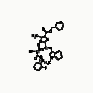 Cc1oc([C@@H](Cc2cn(C)c3ccccc23)NC(=O)[C@@H](C(=O)ONc2ccccc2F)C(C)C)nc1C(=O)OCc1ccccc1